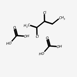 CCC(Cl)C(C)Cl.O=C(O)O.O=C(O)O